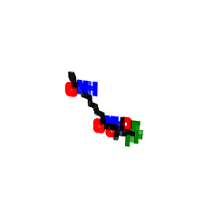 C#CC(=O)NCCCCCCC(=O)NOC(C)(C)CC(=O)C(F)(F)F